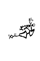 CS(=O)(=O)c1cccc(-c2ccc(CNC3CC(F)(F)C3)cc2)c1-c1nnn[nH]1